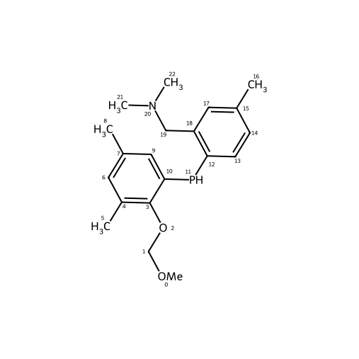 COCOc1c(C)cc(C)cc1Pc1ccc(C)cc1CN(C)C